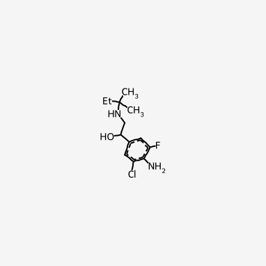 CCC(C)(C)NCC(O)c1cc(F)c(N)c(Cl)c1